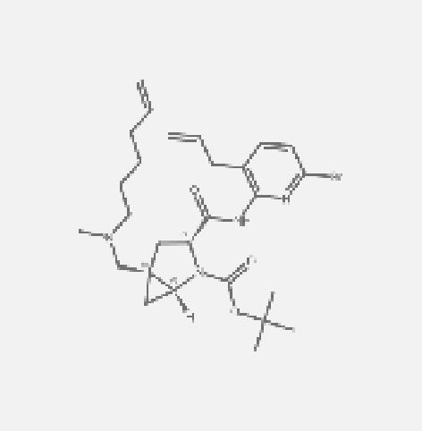 C=CCCCCN(C)C[C@@]12C[C@@H](C(=O)Nc3nc(Br)ccc3CC=C)N(C(=O)OC(C)(C)C)[C@@H]1C2